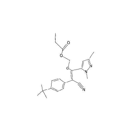 CCC(=O)OCO/C(=C(/C#N)c1ccc(C(C)(C)C)cc1)c1cc(C)nn1C